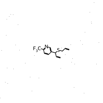 C=CCSC(C=C)c1ccc(C(F)(F)F)nc1